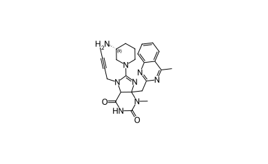 CC#CCN1C(N2CCC[C@@H](N)C2)=NC2(Cc3nc(C)c4ccccc4n3)C1C(=O)NC(=O)N2C